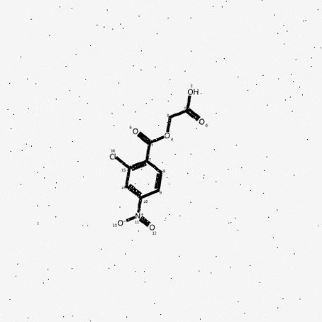 O=C(O)COC(=O)c1ccc([N+](=O)[O-])cc1Cl